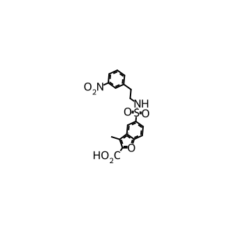 Cc1c(C(=O)O)oc2ccc(S(=O)(=O)NCCc3cccc([N+](=O)[O-])c3)cc12